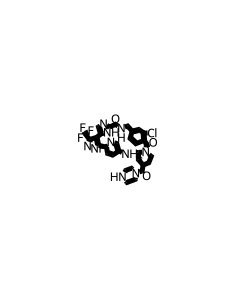 Nc1ccc(-c2[nH]nc(C(F)(F)F)c2-c2cnc(C(=O)NCc3ccc(C(=O)N4CCC(C(=O)N5CCNCC5)CC4)c(Cl)c3)[nH]2)nc1